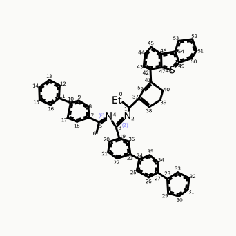 CCC(/N=C(\N=C(/C)c1ccc(-c2ccccc2)cc1)c1cccc(-c2ccc(-c3ccccc3)cc2)c1)C1=CCCC(c2cccc3c2sc2ccccc23)=C1